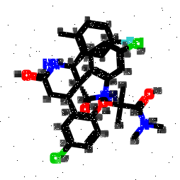 Cc1ccc(F)cc1[C@@H]1NC(=O)C[C@H](c2cc(Cl)ccc2OC(C)(C)C(=O)N(C)C)[C@@]12C(=O)Nc1cc(Cl)ccc12